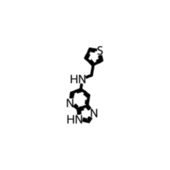 c1nc2cc(NCc3ccsc3)cnc2[nH]1